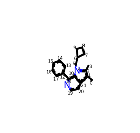 Cc1c(C)n(CC2CCC2)c2c(-c3ccccc3)nccc12